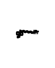 C=CC(=O)OC(C)CCCCCCC(C)C